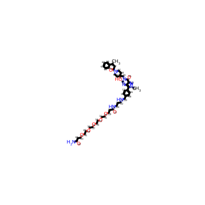 CC(CC(=O)N1CCC(O)(Cn2cnc3c(-c4ccc(CNCCCNC(=O)CCOCCOCCOCCOCCOCCC(N)=O)cc4)n(C)nc3c2=O)CC1)c1ccccc1